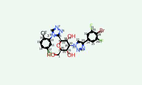 OC[C@H]1O[C@@H](c2nncn2-c2cc(Cl)ccc2C(F)(F)F)[C@H](O)[C@@H](n2cc(-c3cc(F)c(Br)c(F)c3)nn2)[C@H]1O